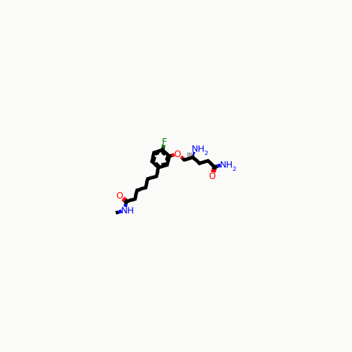 CNC(=O)CCCCCc1ccc(F)c(OC[C@@H](N)CCC(N)=O)c1